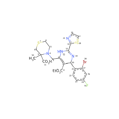 CCOC(=O)C1=C(CN2CCSCC2(C)C(=O)O)NC(c2nccs2)=NC1c1ccc(F)cc1Br